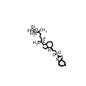 CC[Si](CC)(CC)OC(C)(C)CC[C@H](F)[C@@H](C)[C@H]1CC[C@H]2/C(=C/CS(=O)(=O)c3nc4ccccc4s3)CCC[C@]12C